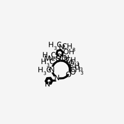 CO[C@]1(C)C[C@@H](C)CN(C)CCN(Cc2cccnc2)CCCOC(=O)C(C)(C)C(=O)[C@H](C)[C@H]1O[C@@H]1O[C@H](C)C[C@H](N(C)C)[C@H]1O